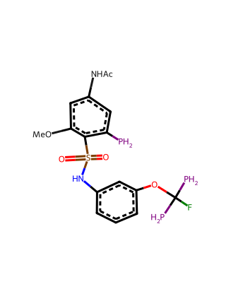 COc1cc(NC(C)=O)cc(P)c1S(=O)(=O)Nc1cccc(OC(F)(P)P)c1